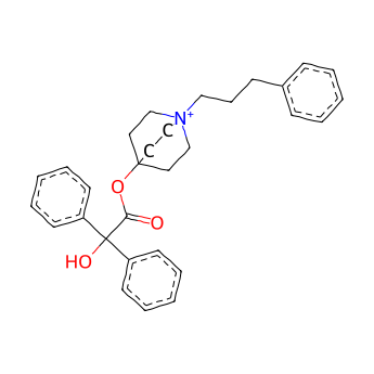 O=C(OC12CC[N+](CCCc3ccccc3)(CC1)CC2)C(O)(c1ccccc1)c1ccccc1